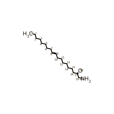 CCCCCCCCC=CCCCCCCCC(=O)CN